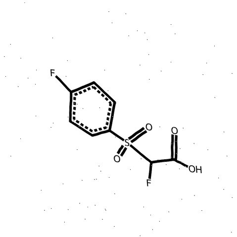 O=C(O)C(F)S(=O)(=O)c1ccc(F)cc1